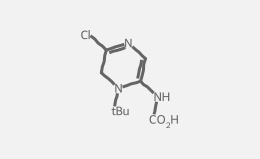 CC(C)(C)N1CC(Cl)=NC=C1NC(=O)O